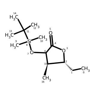 CC[C@H]1OC(=O)C(O[Si](C)(C)C(C)(C)C)[C@@H]1C